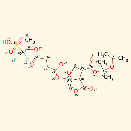 CC(C)OC(C)(C)OC(=O)C1C2OC3C(OC(=O)C31)C2OC(=O)CCC(=O)OC(C)C(F)(F)S(=O)(=O)O